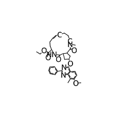 CCOC(=O)C1CCC=CCCCCN(C)C(=O)C2CC(Oc3nc(-c4ccccc4)nc4c(C)c(OC)ccc34)CC2C(=O)N1